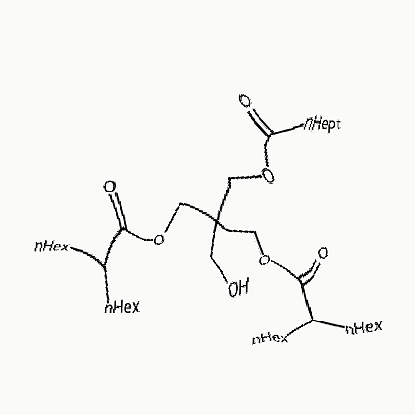 CCCCCCCC(=O)OCC(CO)(COC(=O)C(CCCCCC)CCCCCC)COC(=O)C(CCCCCC)CCCCCC